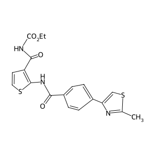 CCOC(=O)NC(=O)c1ccsc1NC(=O)c1ccc(-c2csc(C)n2)cc1